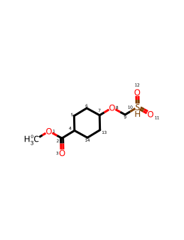 COC(=O)C1CCC(OC[SH](=O)=O)CC1